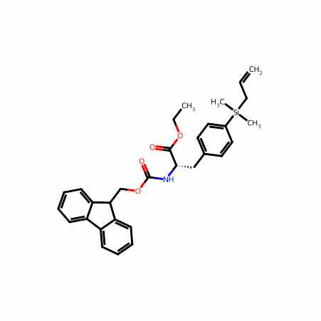 C=CC[Si](C)(C)c1ccc(C[C@H](NC(=O)OCC2c3ccccc3-c3ccccc32)C(=O)OCC)cc1